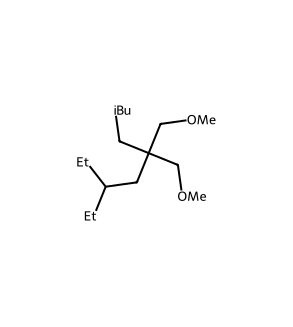 CCC(C)CC(COC)(COC)CC(CC)CC